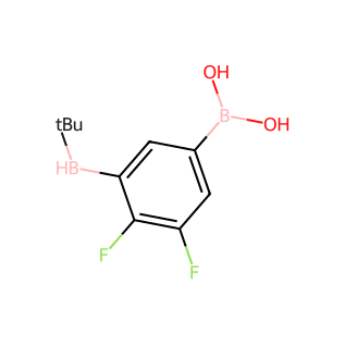 CC(C)(C)Bc1cc(B(O)O)cc(F)c1F